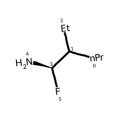 CCCC(CC)[C@H](N)F